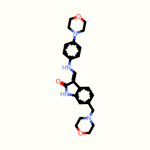 O=C1Nc2cc(CN3CCOCC3)ccc2C1=CNc1ccc(N2CCOCC2)cc1